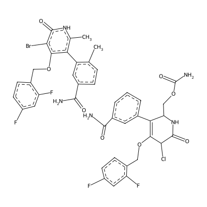 Cc1ccc(C(N)=O)cc1-c1c(C)[nH]c(=O)c(Br)c1OCc1ccc(F)cc1F.NC(=O)OCC1NC(=O)C(Cl)C(OCc2ccc(F)cc2F)=C1c1cccc(C(N)=O)c1